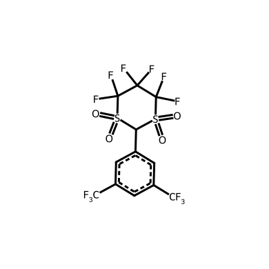 O=S1(=O)C(c2cc(C(F)(F)F)cc(C(F)(F)F)c2)S(=O)(=O)C(F)(F)C(F)(F)C1(F)F